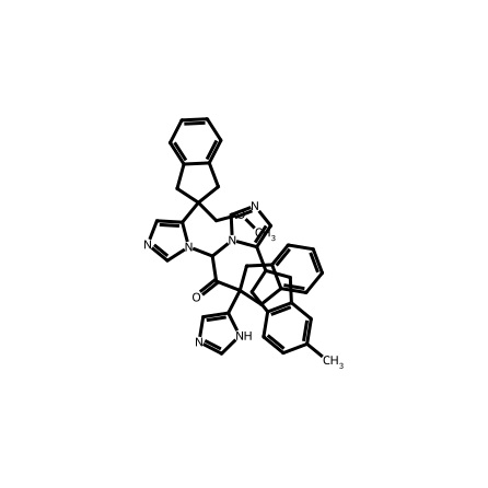 COCC1(c2cncn2C(C(=O)C2(c3cnc[nH]3)Cc3ccccc3C2)n2cncc2C2Cc3ccc(C)cc3C2)Cc2ccccc2C1